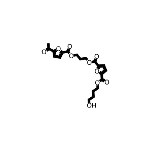 CC(=O)c1ccc(C(=O)OCCCOC(=O)c2ccc(C(=O)OCCCCO)o2)o1